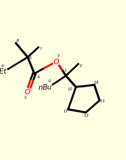 CCCCC(C)(OC(=O)C(C)(C)CC)C1CCCC1